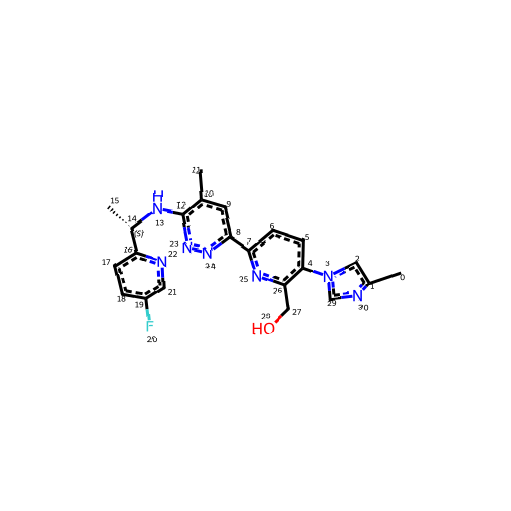 Cc1cn(-c2ccc(-c3cc(C)c(N[C@@H](C)c4ccc(F)cn4)nn3)nc2CO)cn1